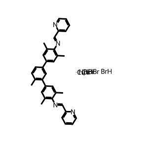 Br.Br.Br.Br.Cc1ccc(-c2cc(C)c(N=Cc3ccccn3)c(C)c2)cc1-c1cc(C)c(N=Cc2ccccn2)c(C)c1.[Cu].[Cu]